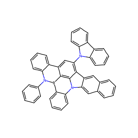 c1ccc(N2B3c4ccccc4-n4c5cc6ccccc6cc5c5c(-n6c7ccccc7c7ccccc76)cc(c3c54)-c3ccccc32)cc1